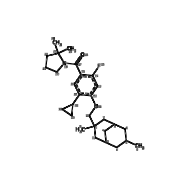 CC1CC2CC(C1)CC(C)(COc1cc(F)c(C(=O)N3CCCC3(C)C)cc1C1CC1)C2